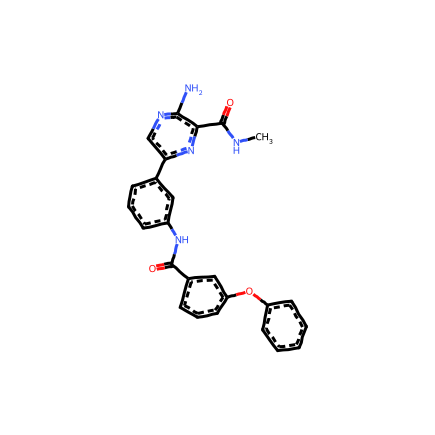 CNC(=O)c1nc(-c2cccc(NC(=O)c3cccc(Oc4ccccc4)c3)c2)cnc1N